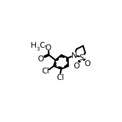 COC(=O)c1cc(N2CCCS2(=O)=O)cc(Cl)c1Cl